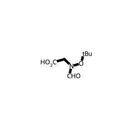 CC(C)(C)ON(C=O)CC(=O)O